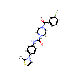 CC1SC=CN1c1ccc(NC(=O)N2CCN(C(=O)c3cccc(F)c3)CC2)cc1